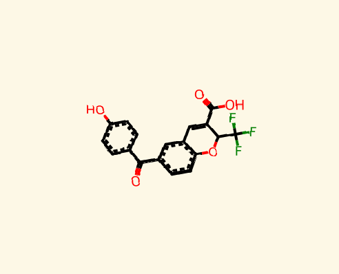 O=C(O)C1=Cc2cc(C(=O)c3ccc(O)cc3)ccc2OC1C(F)(F)F